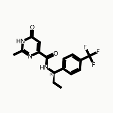 CC[C@@H](NC(=O)c1cc(=O)[nH]c(C)n1)c1ccc(C(F)(F)F)cc1